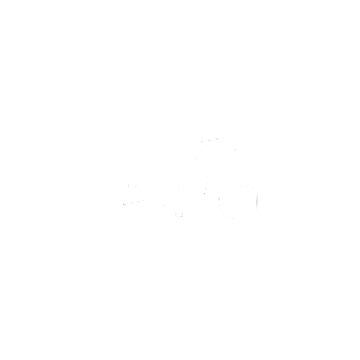 CC(OCC1CO1)(c1ccccc1)c1ccccc1